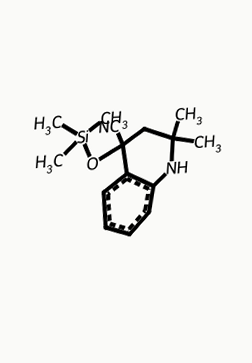 CC1(C)CC(C#N)(O[Si](C)(C)C)c2ccccc2N1